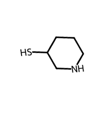 SC1CCCNC1